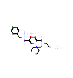 COCCN1CC2(CCOCC2)n2cc(C(=O)NCc3ccc(F)cc3F)c(=O)c(O)c2C1=O